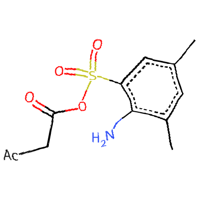 CC(=O)CC(=O)OS(=O)(=O)c1cc(C)cc(C)c1N